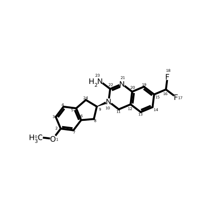 COc1ccc2c(c1)C[C@H](N1Cc3ccc(C(F)F)cc3N=C1N)C2